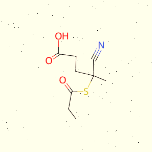 CCC(=O)SC(C)(C#N)CCC(=O)O